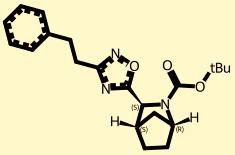 CC(C)(C)OC(=O)N1[C@@H]2CC[C@@H](C2)[C@H]1c1nc(CCc2ccccc2)no1